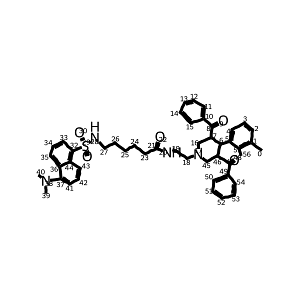 Cc1cccc(C2C(C(=O)c3ccccc3)CN(CCNC(=O)CCCCCNS(=O)(=O)c3cccc4c(N(C)C)cccc34)CC2C(=O)c2ccccc2)c1C